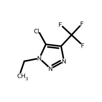 CCn1nnc(C(F)(F)F)c1Cl